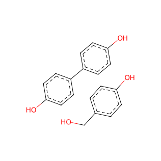 OCc1ccc(O)cc1.Oc1ccc(-c2ccc(O)cc2)cc1